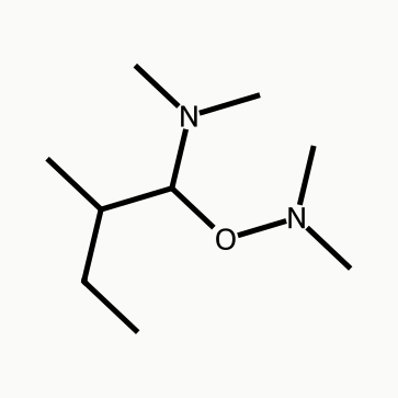 CCC(C)C(ON(C)C)N(C)C